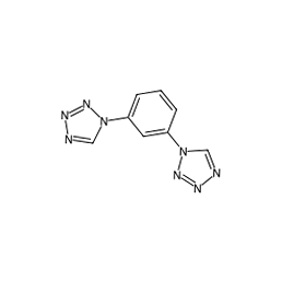 c1cc(-n2cnnn2)cc(-n2cnnn2)c1